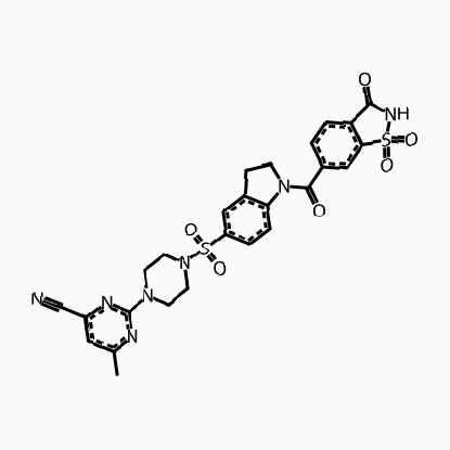 Cc1cc(C#N)nc(N2CCN(S(=O)(=O)c3ccc4c(c3)CCN4C(=O)c3ccc4c(c3)S(=O)(=O)NC4=O)CC2)n1